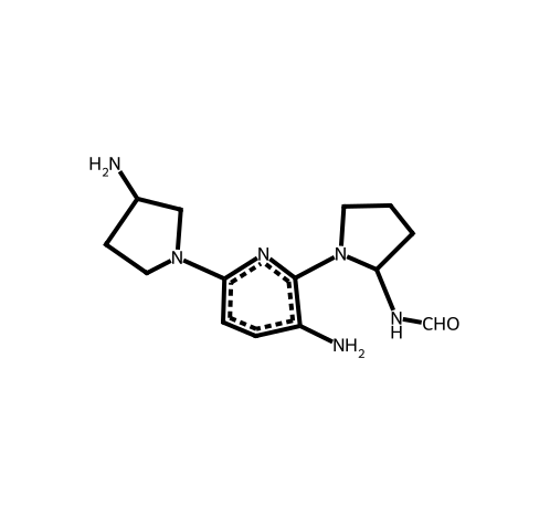 Nc1ccc(N2CCC(N)C2)nc1N1CCCC1NC=O